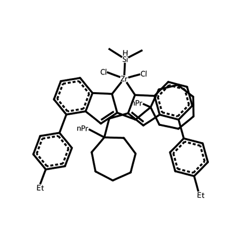 CCCC1(CC2=Cc3c(-c4ccc(CC)cc4)cccc3[CH]2[Zr]([Cl])([Cl])([CH]2C(CC3(CCC)CCCCCC3)=Cc3c(-c4ccc(CC)cc4)cccc32)[SiH](C)C)CCCCCC1